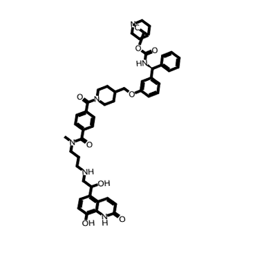 CN(CCCNCC(O)c1ccc(O)c2[nH]c(=O)ccc12)C(=O)c1ccc(C(=O)N2CCC(COc3cccc([C@@H](NC(=O)OC4CN5CCC4CC5)c4ccccc4)c3)CC2)cc1